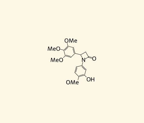 COc1ccc(N2C(=O)CC2c2cc(OC)c(OC)c(OC)c2)cc1O